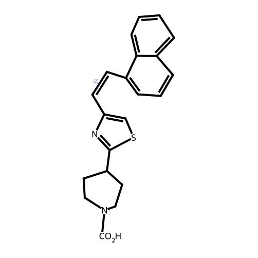 O=C(O)N1CCC(c2nc(/C=C\c3cccc4ccccc34)cs2)CC1